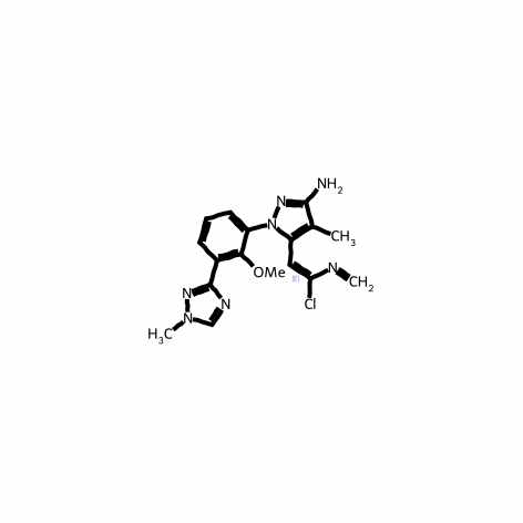 C=N/C(Cl)=C\c1c(C)c(N)nn1-c1cccc(-c2ncn(C)n2)c1OC